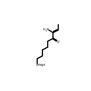 CC=C(N)C(=O)CCCCCCCCCCCC